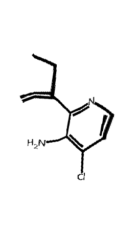 C=C(CC)c1nccc(Cl)c1N